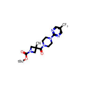 CC(C)(C)OC(=O)N1CC(C#N)(C(=O)N2CCN(c3ncc(C(F)(F)F)cn3)CC2)C1